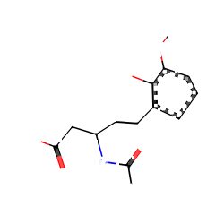 COc1cccc(CCC(CC(=O)O)NC(C)=O)c1O